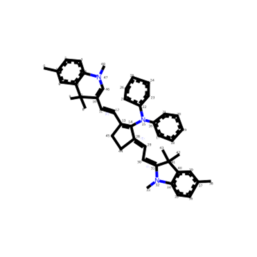 Cc1ccc2c(c1)C(C)(C)C(/C=C/C1=C(N(c3ccccc3)c3ccccc3)C(=C/C=C3/N(C)c4ccc(C)cc4C3(C)C)/CC1)=CN2C